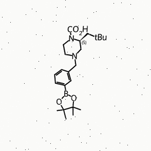 CC(C)(C)C[C@H]1CN(Cc2cccc(B3OC(C)(C)C(C)(C)O3)c2)CCN1C(=O)O